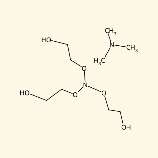 CN(C)C.OCCON(OCCO)OCCO